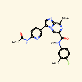 CCN(C(=O)c1cn2c(-c3ccc(NC(=O)OC)nc3)cnc2c(NC(C)=O)n1)c1ccc(F)c(OC)c1